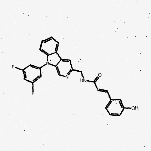 O=C(/C=C/c1cccc(O)c1)NCc1cc2c3ccccc3n(-c3cc(F)cc(F)c3)c2cn1